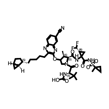 C[C@@H]1C(Oc2nc3cc(C#N)ccc3nc2CCCCC[C@H]2CC[C@@H]3C[C@H]23)CN(C(=O)[C@@H](NC(=O)O)C(C)(C)C)[C@@H]1C(=O)NC1(C(=O)NS(=O)(=O)C2(C)CC2)C[C@H]1C(F)F